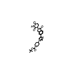 CC(C)(C)OC(=O)N1CCC(n2cc(-c3ccc4c(c3)CN(C3CCC(=O)NC3=O)C4=O)nn2)CC1